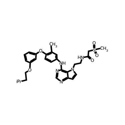 Cc1cc(Nc2ncnc3ccn(CCNC(=O)CS(C)(=O)=O)c23)ccc1Oc1cccc(OCCC(C)C)c1